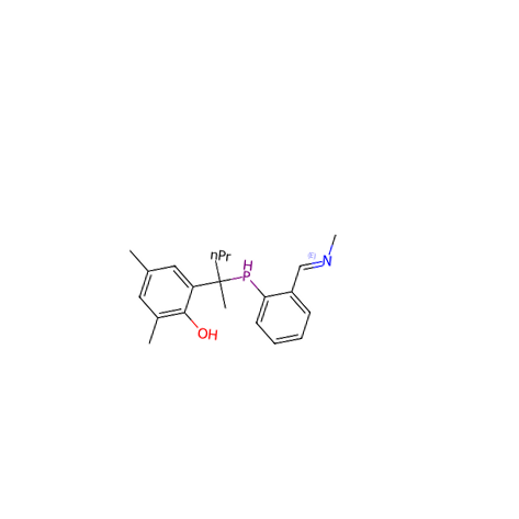 CCCC(C)(Pc1ccccc1/C=N/C)c1cc(C)cc(C)c1O